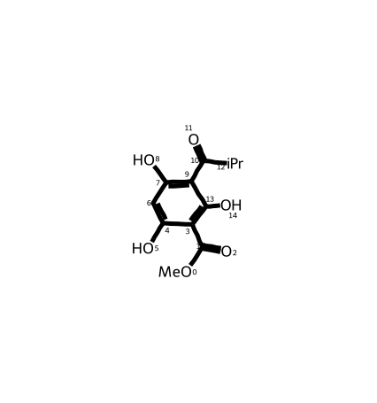 COC(=O)c1c(O)cc(O)c(C(=O)C(C)C)c1O